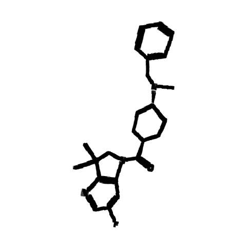 CN(Cc1ccccc1)[C@H]1CC[C@H](C(=O)N2CC(C)(C)c3ncc(F)cc32)CC1